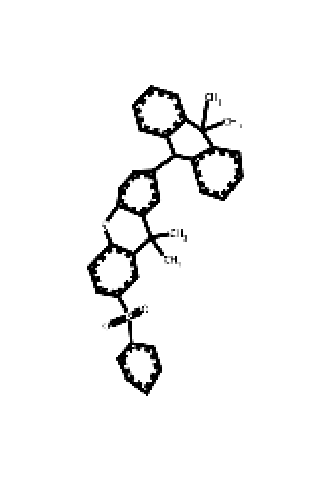 CC1(C)c2cc(C3c4ccccc4C(C)(C)c4ccccc43)ccc2Sc2ccc(S(=O)(=O)c3ccccc3)cc21